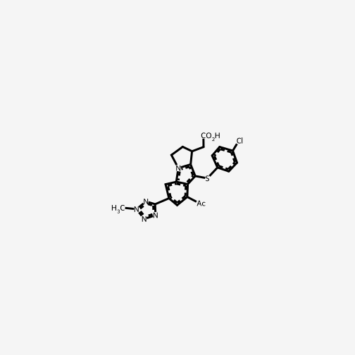 CC(=O)c1cc(-c2nnn(C)n2)cc2c1c(Sc1ccc(Cl)cc1)c1n2CCC1CC(=O)O